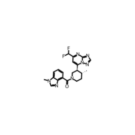 C[C@@H]1CCN(C(=O)c2cccc3c2ncn3C)C[C@H]1c1cc(C(F)F)nc2ncnn12